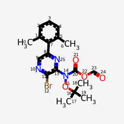 Cc1cccc(C)c1-c1cnc(Br)c(N(OC(C)(C)C)C(=O)OC=O)n1